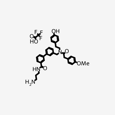 COc1ccc(CC(=O)N(CCc2ccc(O)cc2)Cc2cccc(-c3cccc(C(=O)NCCCN)c3)c2)cc1.O=C(O)C(F)(F)F